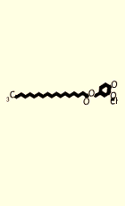 CCCCCCCCCCCCCCCCCC(=O)OCc1ccc(O)c(OC)c1